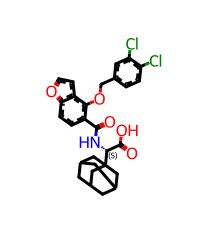 O=C(N[C@H](C(=O)O)C12CC3CC(CC(C3)C1)C2)c1ccc2occc2c1OCc1ccc(Cl)c(Cl)c1